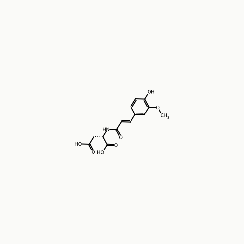 COc1cc(/C=C/C(=O)N[C@@H](CC(=O)O)C(=O)O)ccc1O